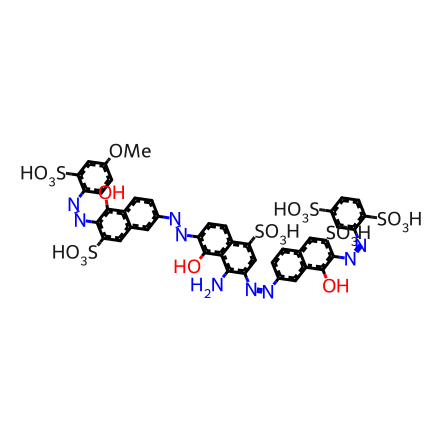 COc1ccc(/N=N\c2c(S(=O)(=O)O)cc3cc(N=Nc4ccc5c(S(=O)(=O)O)cc(/N=N\c6ccc7cc(S(=O)(=O)O)c(/N=N\c8cc(S(=O)(=O)O)ccc8S(=O)(=O)O)c(O)c7c6)c(N)c5c4O)ccc3c2O)c(S(=O)(=O)O)c1